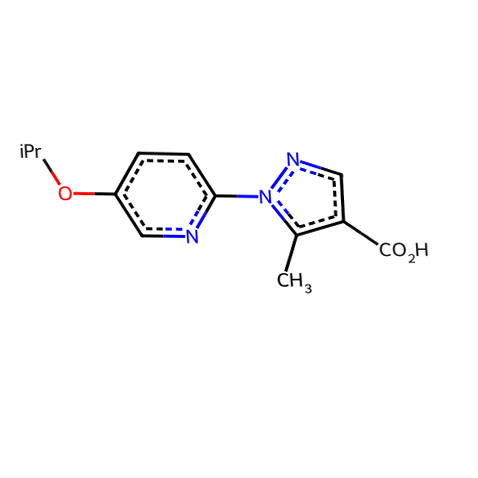 Cc1c(C(=O)O)cnn1-c1ccc(OC(C)C)cn1